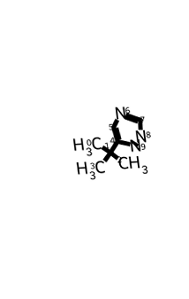 CC(C)(C)c1cncnn1